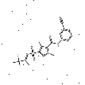 C/C(=N\S(=O)(=O)c1cn(C)c(C(=O)Nc2ccnc(C#N)c2)c1F)C(C)(F)F